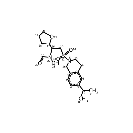 CC(C)c1ccc2c(c1)CCN(S(=O)(=O)C[C@H]([C@H]1CCCO1)N(O)C=O)C2